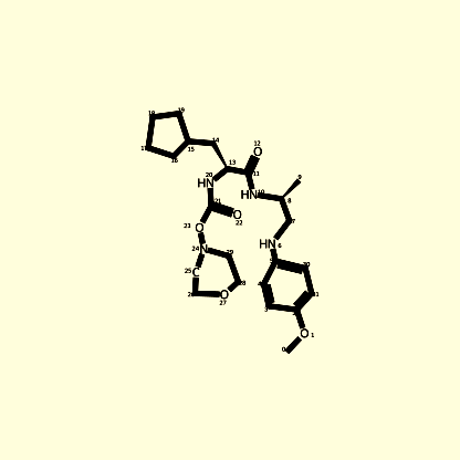 COc1ccc(NC[C@H](C)NC(=O)[C@H](CC2CCCC2)NC(=O)ON2CCOCC2)cc1